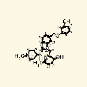 Cc1cccc(SCc2ccc3nc(NC4CCN(C)CC4)n(Cc4nc(C)ccc4O)c3c2)c1